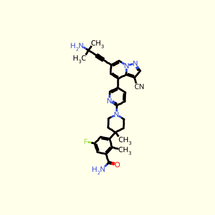 Cc1c(C(N)=O)cc(F)cc1C1(C)CCN(c2ccc(-c3cc(C#CC(C)(C)N)cn4ncc(C#N)c34)cn2)CC1